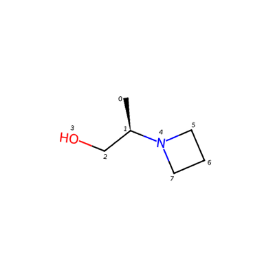 C[C@H](CO)N1CCC1